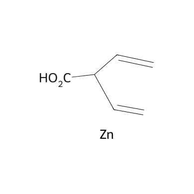 C=CC(C=C)C(=O)O.[Zn]